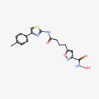 Cc1ccc(-c2csc(NC(=O)CCCc3cc(C(=O)NO)no3)n2)cc1